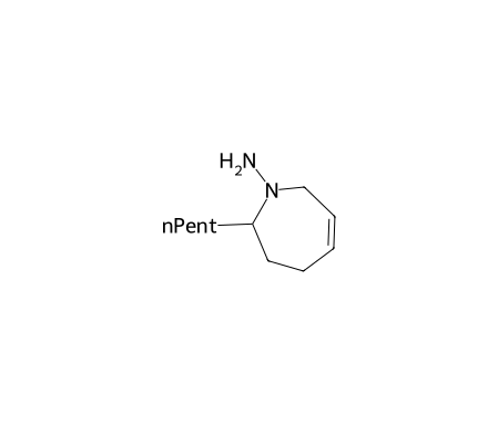 CCCCCC1CCC=CCN1N